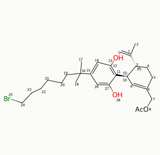 C=C(C)[C@@H]1CCC(COC(C)=O)=C[C@H]1c1c(O)cc(C(C)(C)CCCCCCBr)cc1O